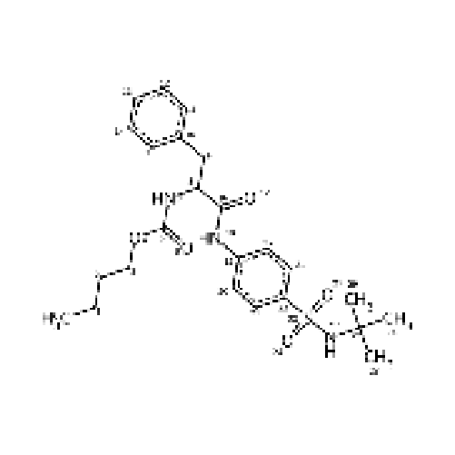 CCCCOC(=O)NC(Cc1ccccc1)C(=O)Nc1ccc(S(=O)(=O)NC(C)(C)C)cc1